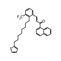 O=C(C=Cc1cccc(C(F)(F)F)c1CCCCCCCCc1cccs1)c1cccc2ccccc12